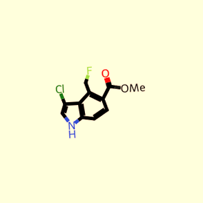 COC(=O)c1ccc2[nH]cc(Cl)c2c1CF